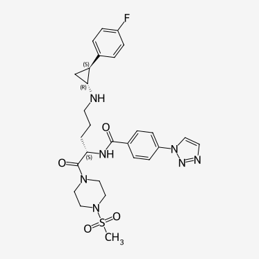 CS(=O)(=O)N1CCN(C(=O)[C@H](CCCN[C@@H]2C[C@H]2c2ccc(F)cc2)NC(=O)c2ccc(-n3ccnn3)cc2)CC1